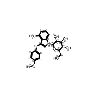 Cc1cccc2c1c(Sc1ccc(OC(C)C)cc1)cn2[C@@H]1O[C@H](CO)[C@@H](O)[C@H](O)[C@H]1O